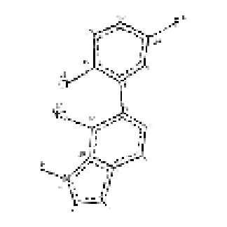 Cn1cnc2ccc(-c3cc(F)ccc3Cl)c(C#N)c21